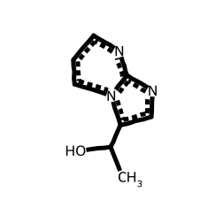 CC(O)c1cnc2ncccn12